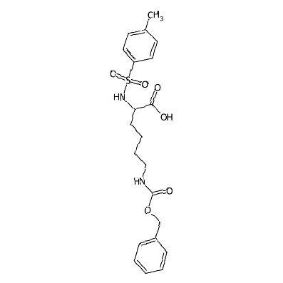 Cc1ccc(S(=O)(=O)NC(CCCCNC(=O)OCc2ccccc2)C(=O)O)cc1